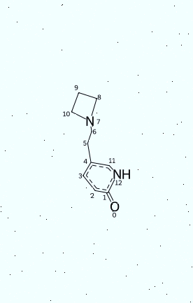 O=c1ccc(CCN2CCC2)c[nH]1